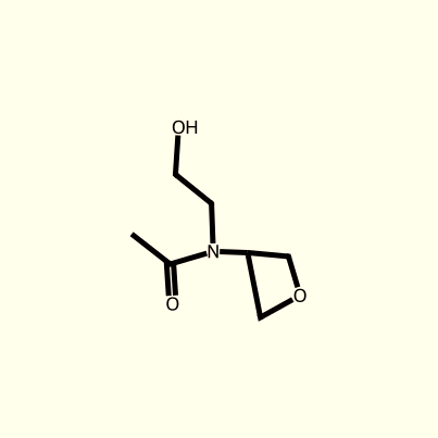 CC(=O)N(CCO)C1COC1